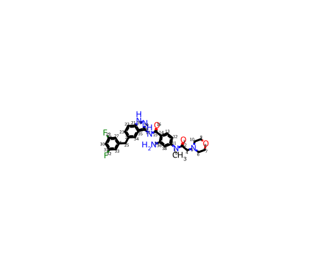 CN(C(=O)CN1CCOCC1)c1ccc(C(=O)Nc2n[nH]c3ccc(Cc4cc(F)cc(F)c4)cc23)c(N)c1